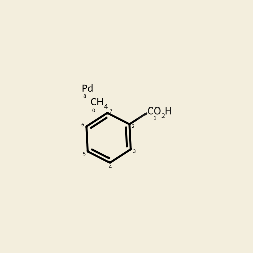 C.O=C(O)c1ccccc1.[Pd]